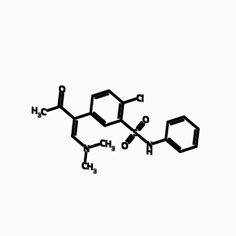 CC(=O)/C(=C/N(C)C)c1ccc(Cl)c(S(=O)(=O)Nc2ccccc2)c1